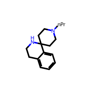 CCCN1CCC2(CC1)NCCc1ccccc12